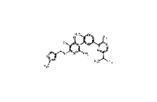 Cc1nc(COc2nc(C)n(-c3cc(-c4nc(C(C)C)ncc4C)ccc3C)c(=O)c2Cl)cs1